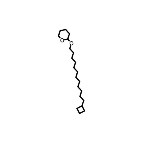 C(CCCCCCC1CCC1)CCCCCOC1CCCCO1